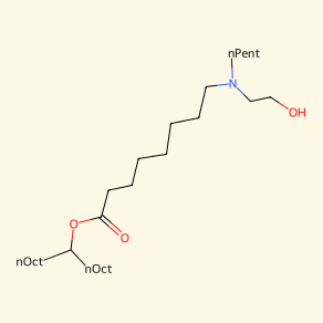 CCCCCCCCC(CCCCCCCC)OC(=O)CCCCCCCN(CCO)CCCCC